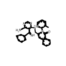 Cc1cccnc1-n1c(CNc2ncnc(N)c2C(=N)c2ccccc2)cc2ccccc2c1=O